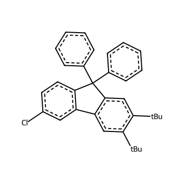 CC(C)(C)c1cc2c(cc1C(C)(C)C)C(c1ccccc1)(c1ccccc1)c1ccc(Cl)cc1-2